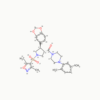 Cc1ccc(C)c(N2CCN(C(=O)[C@@H]3CN(S(=O)(=O)c4c(C)noc4C)C[C@H]3c3ccc4c(c3)OCO4)CC2)c1